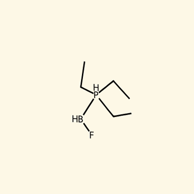 CC[PH](BF)(CC)CC